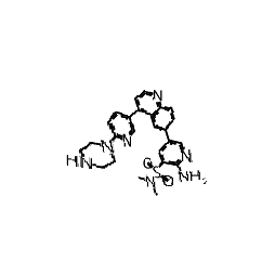 CN(C)S(=O)(=O)c1cc(-c2ccc3nccc(-c4ccc(N5CCNCC5)nc4)c3c2)cnc1N